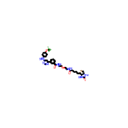 O=C(CCCCC1SCC2NC(=O)NC21)NCCOCCNC(=O)c1cccc(-c2cc(Nc3ccc(OC(F)(F)F)cc3)ncn2)c1